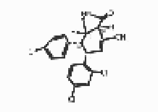 CC1=C[C@@H](c2ccc(Cl)cc2Cl)[C@H](c2ccc(Cl)cc2)[C@@H]2CNC(=O)[C@H]12